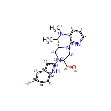 CCN(C)c1cccnc1N1CCN(c2cc3cc(F)ccc3[nH]2)C(C=O)C1